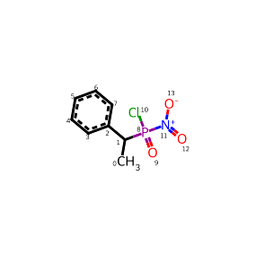 CC(c1ccccc1)P(=O)(Cl)[N+](=O)[O-]